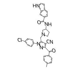 Cc1ccc(C(=O)c2nn(-c3ccc(Cl)cc3)c(CN3CCC(NC(=O)c4ccc5cc[nH]c5c4)C3)c2C#N)cc1